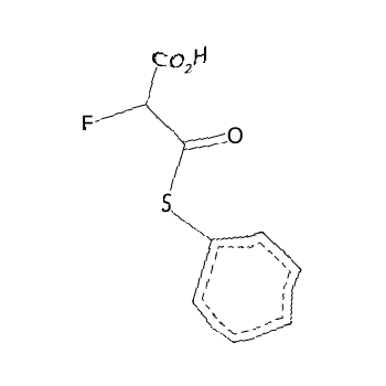 O=C(O)C(F)C(=O)Sc1ccccc1